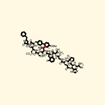 CCc1cc(OC)ccc1-c1ccc(C[C@H](NC(=O)[C@H](CC(=O)O)NC(=O)[C@H](CO)NC(=O)[C@@H](NC(=O)[C@](C)(Cc2c(F)cccc2F)NC(=O)[C@@H](NC(=O)CNC(=O)[C@H](CCC(N)=O)NC(=O)[C@]2(C)CCCN2C(=O)[C@H](Cc2cnc[nH]2)NC(=O)C(N)C(C)C)[C@@H](C)O)[C@@H](C)O)C(=O)N[C@@](C)(CCCc2ccccc2)C(N)=O)cc1